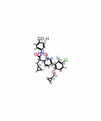 O=C(O)c1ccc(NC(=O)[C@H](CC2CC2)c2ccc(-c3c(OCC4CC4)ccc(Cl)c3F)c[n+]2[O-])cc1